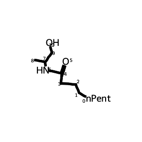 CCCCCCCCC(=O)NC(C)CO